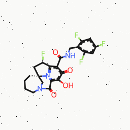 O=C(NCc1c(F)cc(F)cc1F)c1c2n3c(c(O)c1=O)C(=O)N1CCCC[C@@]3(C[C@H]2F)C1